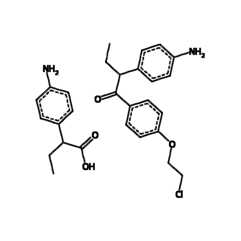 CCC(C(=O)O)c1ccc(N)cc1.CCC(C(=O)c1ccc(OCCCl)cc1)c1ccc(N)cc1